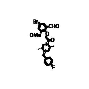 COc1cc(Br)cc(C=O)c1OCC(=O)N1C[C@@H](C)N(Cc2ccc(F)cc2)C[C@@H]1C